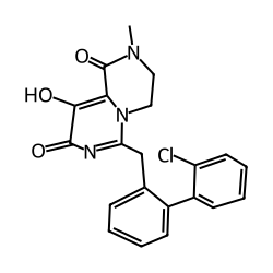 CN1CCn2c(Cc3ccccc3-c3ccccc3Cl)nc(=O)c(O)c2C1=O